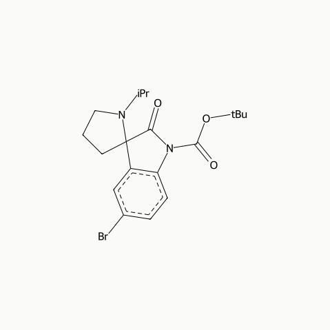 CC(C)N1CCCC12C(=O)N(C(=O)OC(C)(C)C)c1ccc(Br)cc12